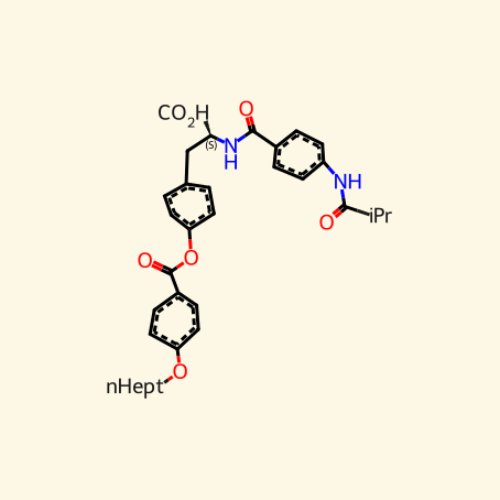 CCCCCCCOc1ccc(C(=O)Oc2ccc(C[C@H](NC(=O)c3ccc(NC(=O)C(C)C)cc3)C(=O)O)cc2)cc1